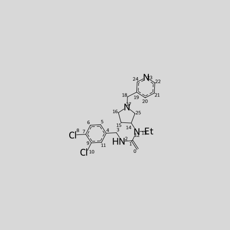 C=C(NCc1ccc(Cl)c(Cl)c1)N(CC)C1CCN(Cc2cccnc2)C1